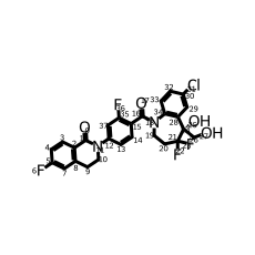 O=C1c2ccc(F)cc2CCN1c1ccc(C(=O)N2CCC(F)(F)[C@](O)(CO)c3cc(Cl)ccc32)c(F)c1